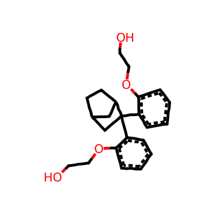 OCCOc1ccccc1C1(c2ccccc2OCCO)CC2CCC1C2